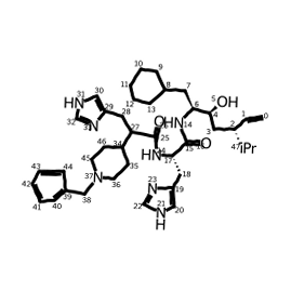 C=C[C@@H](C[C@H](O)[C@H](CC1CCCCC1)NC(=O)[C@H](Cc1c[nH]cn1)NC(=O)C(Cc1c[nH]cn1)C1CCN(Cc2ccccc2)CC1)C(C)C